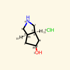 Cl.O[C@H]1C[C@H]2CNC[C@H]2C1